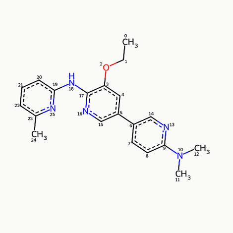 CCOc1cc(-c2ccc(N(C)C)nc2)cnc1Nc1cccc(C)n1